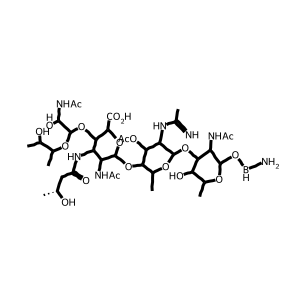 CC(=N)NC1C(OC2C(O)C(C)OC(OBN)C2NC(C)=O)OC(C)C(OC2OC(C(=O)O)C(OC(OC(C)C(C)O)C(O)NC(C)=O)C(NC(=O)C[C@@H](C)O)C2NC(C)=O)C1OC(C)=O